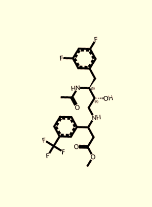 COC(=O)CC(NC[C@@H](O)[C@H](Cc1cc(F)cc(F)c1)NC(C)=O)c1cccc(C(F)(F)F)c1